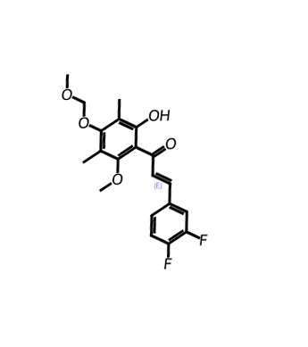 COCOc1c(C)c(O)c(C(=O)/C=C/c2ccc(F)c(F)c2)c(OC)c1C